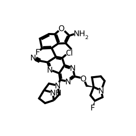 Cc1c(N)oc2ccc(F)c(-c3c(C#N)nc4c(N5CC6CCC(C5)N6)nc(OC[C@@]56CCCN5C[C@H](F)C6)nc4c3Cl)c12